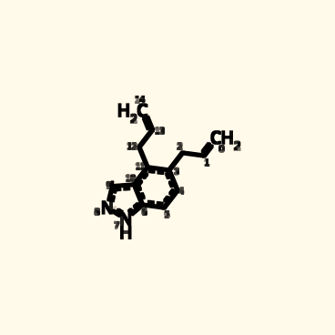 C=CCc1ccc2[nH]n[c]c2c1CC=C